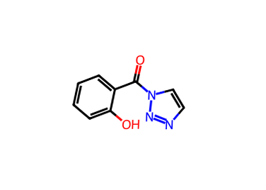 O=C(c1ccccc1O)n1ccnn1